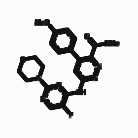 CNC(=O)c1nnc(Nc2nc(N3CCOCC3)ncc2F)cc1-c1ccc(OC)cc1